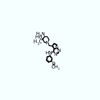 COc1cccc(Nc2ncnn3ccc(CN4CC[C@@H](N)[C@@](C)(O)C4)c23)c1